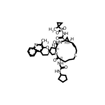 Cc1nc2ccccc2c2c1O[C@]1(CC2)C[C@H]2C(=O)N[C@]3(C(=O)NS(=O)(=O)C4(C)CC4)C[C@H]3C=CCCCCC[C@H](NC(=O)NC3CCCC3)C(=O)N2C1